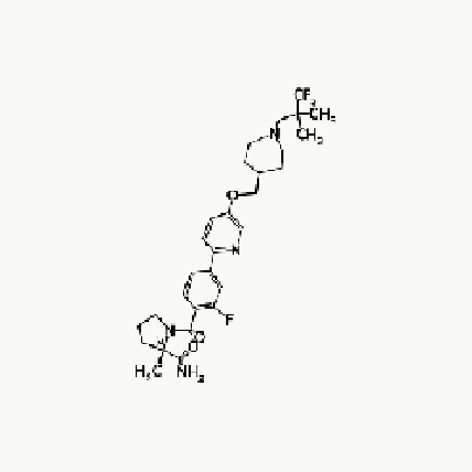 CC(C)(CN1CCC(COc2ccc(-c3ccc(C(=O)N4CCC[C@@]4(C)C(N)=O)c(F)c3)nc2)CC1)C(F)(F)F